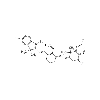 C=CC1=C(/C=C/C2=[N+](CC)c3ccc(Cl)cc3C2(C)C)CCC/C1=C\C=C1\CN(CC)c2ccc(Cl)cc2C1(C)C